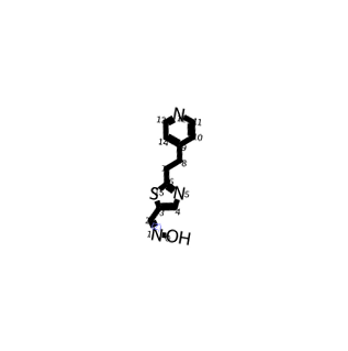 O/N=C\c1cnc(CCc2ccncc2)s1